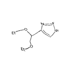 CCOC(OCC)c1c[nH]nn1